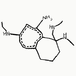 CNc1cc(N)c2c(c1)CCCC2(NC)NC